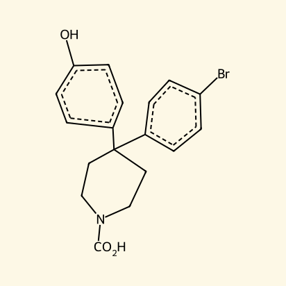 O=C(O)N1CCC(c2ccc(O)cc2)(c2ccc(Br)cc2)CC1